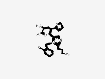 CCCCc1ncc(C=C(C=C(C)C(=O)O)c2cccs2)n1Cc1ccccc1Cl